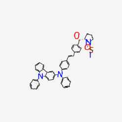 O=C(c1ccc(/C=C/c2ccc(N(c3ccccc3)c3ccc4c(c3)c3ccccc3n4-c3ccccc3)cc2)cc1)[C@@H]1CCCN1OSI